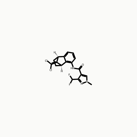 Cn1cc(C(=O)Nc2cccc3c2[C@H]2CC[C@@H]3C2=C(Cl)Cl)c(C(F)F)n1